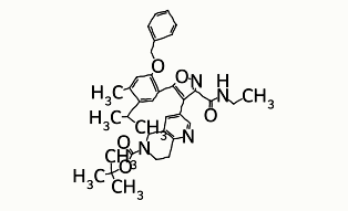 CCNC(=O)c1noc(-c2cc(C(C)C)c(C)cc2OCc2ccccc2)c1-c1cnc2c(c1)CN(C(=O)OC(C)(C)C)CC2